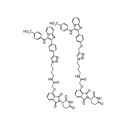 O=C(COc1cccc2c1C(=O)N(C1CCC(=O)NC1=O)C2=O)NCCCCn1cc(-c2ccc(-c3nc4ccccn4c3Nc3ccc(C(=O)O)cc3)cc2)nn1.O=C(COc1cccc2c1C(=O)N(C1CCC(=O)NC1=O)C2=O)NCCCCn1cc(COc2ccc(-c3nc4ccccn4c3Nc3ccc(C(=O)O)cc3)cc2)nn1